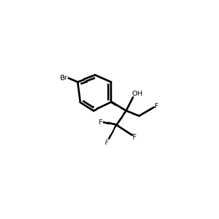 OC(CF)(c1ccc(Br)cc1)C(F)(F)F